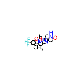 Cc1cc(C(F)(F)F)cc(O)c1-c1ccc2cn([C@@H]3CCC(=O)NC3C)nc2n1